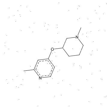 Cc1cc(OC2CCCN(C)C2)ccn1